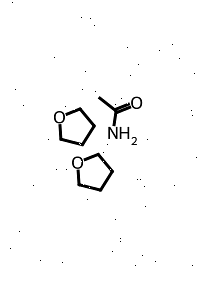 C1CCOC1.C1CCOC1.CC(N)=O